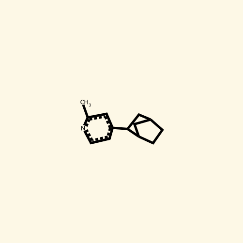 Cc1cc(C2CC3CCC2C3)ccn1